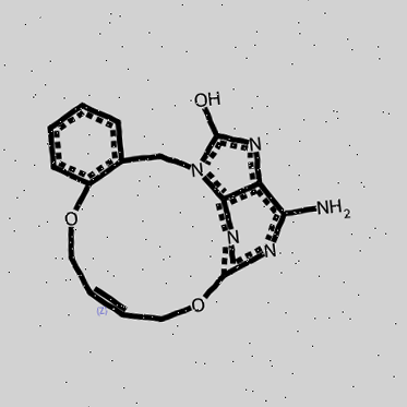 Nc1nc2nc3c1nc(O)n3Cc1ccccc1OC/C=C\CO2